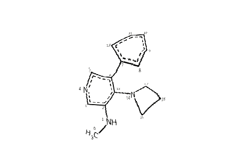 CNc1cn[c]c(-c2ccccc2)c1N1CCC1